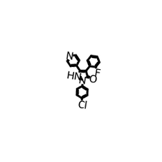 O=c1c(-c2ccccc2F)c(-c2ccncc2)[nH]n1-c1ccc(Cl)cc1